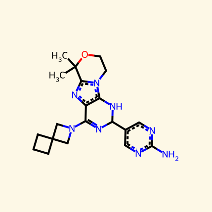 CC1(C)OCCn2c1nc1c2NC(c2cnc(N)nc2)N=C1N1CC2(CCC2)C1